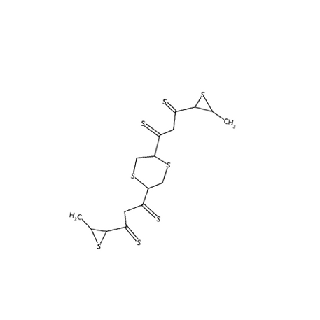 CC1SC1C(=S)CC(=S)C1CSC(C(=S)CC(=S)C2SC2C)CS1